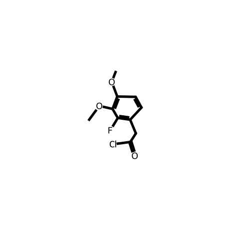 COc1ccc(CC(=O)Cl)c(F)c1OC